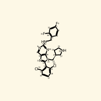 Fc1ccc(CNc2ncc3nc(-c4c(Cl)cccc4Cl)n(C[C@H]4CCNC4)c3n2)c(F)c1